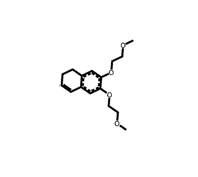 COCCOc1cc2c(cc1OCCOC)CC[C]=C2